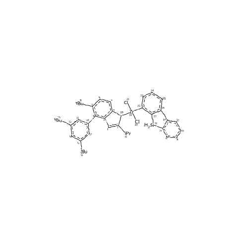 CC(C)C1=Cc2c(ccc(C(C)(C)C)c2-c2cc(C(C)(C)C)cc(C(C)(C)C)c2)[CH]1[Zr]([Cl])([Cl])[c]1cccc2c1[SiH2]c1ccccc1-2